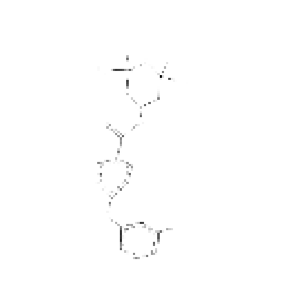 CCc1cccc(Oc2ccc(C(=O)NC3CC(C)(C)NC(C)(C)C3)cc2)c1